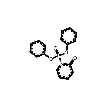 O=c1ccccn1P(=O)(Oc1ccccc1)Oc1ccccc1